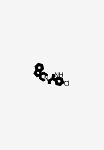 C=C(c1c[nH]c2cc(Cl)ccc12)N1CCC2(C=Cc3ccccc32)CC1